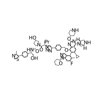 Cc1ncsc1-c1ccc([C@H](CO)NC(=O)[C@@H]2C[C@@H](O)CN2C(=O)[C@H](C(C)C)n2cc(-c3ccc(COc4c(-c5c(C)c(F)cc6c5cnn6C5CCCCO5)c(C5CC5)cc5c(N6C[C@@H]7C[C@H]6CN7)nc(OC6CCNCC6)nc45)cc3)nn2)cc1